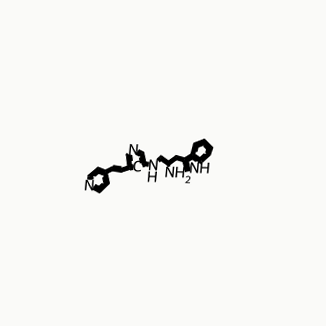 N[C@@H](CNc1cncc(C=Cc2ccncc2)c1)Cc1c[nH]c2ccccc12